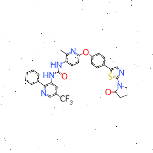 Cc1nc(Oc2ccc(-c3cnc(N4CCCC4=O)s3)cc2)ccc1NC(=O)Nc1cc(C(F)(F)F)cnc1-c1ccccc1